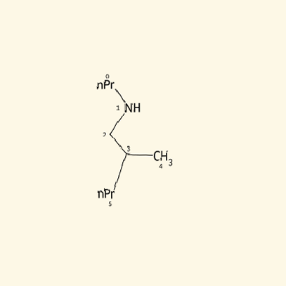 CCCNCC(C)CCC